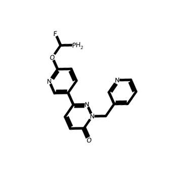 O=c1ccc(-c2ccc(OC(F)P)nc2)nn1Cc1cccnc1